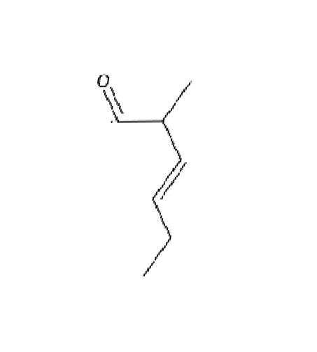 CC/C=C/C(C)[C]=O